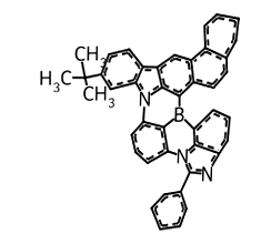 CC(C)(C)c1ccc2c3cc4c(ccc5ccccc54)c4c3n(c2c1)-c1cccc2c1B4c1cccc3nc(-c4ccccc4)n-2c13